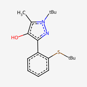 Cc1c(O)c(-c2ccccc2SC(C)(C)C)nn1C(C)(C)C